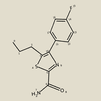 CCCc1sc(C(N)=O)nc1-c1ccc(F)cc1